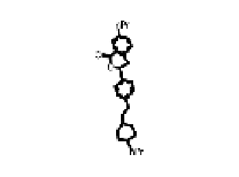 CCCc1ccc2c(c1)C(=O)OC(c1ccc(CCC3CCC(CCC)CC3)cc1)C2